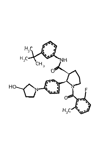 Cc1cccc(F)c1C(=O)N1CCC[C@H](C(=O)Nc2cccc(C(C)(C)C)c2)[C@@H]1c1ccc(N2CCC(O)C2)cc1